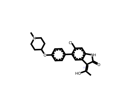 C/C(O)=C1\C(=O)Nc2cc(Cl)c(-c3ccc(OC4CCN(C)CC4)cc3)cc21